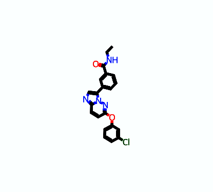 CCNC(=O)c1cccc(-c2cnc3ccc(Oc4cccc(Cl)c4)nn23)c1